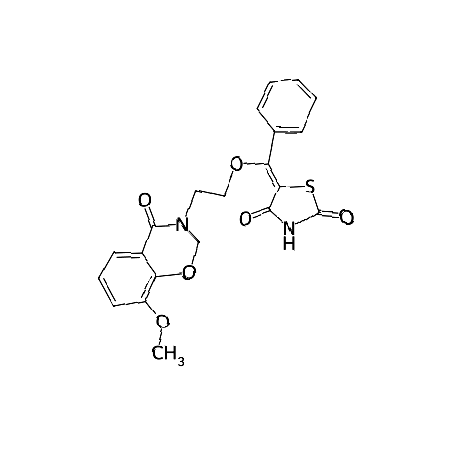 COc1cccc2c1OCN(CCOC(=C1SC(=O)NC1=O)c1ccccc1)C2=O